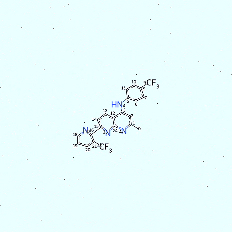 Cc1cc(Nc2ccc(C(F)(F)F)cc2)c2ccc(-c3ncccc3C(F)(F)F)nc2n1